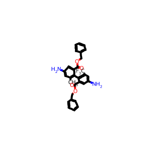 Cc1cc(N)cc(C(=O)OCc2ccccc2)c1-c1c(C(=O)OCc2ccccc2)cc(N)cc1C(F)(F)F